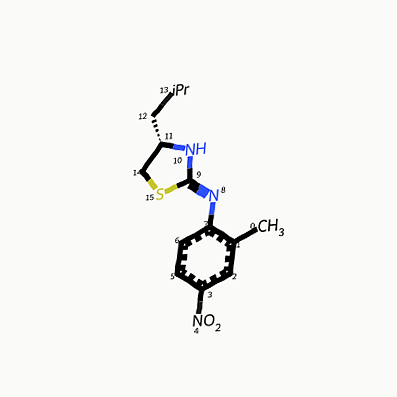 Cc1cc([N+](=O)[O-])ccc1/N=C1/N[C@@H](CC(C)C)CS1